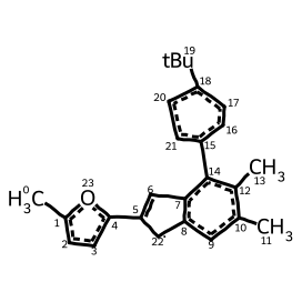 Cc1ccc(C2=Cc3c(cc(C)c(C)c3-c3ccc(C(C)(C)C)cc3)[CH]2)o1